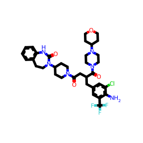 Nc1c(Cl)cc(CC(CC(=O)N2CCC(N3CCc4ccccc4NC3=O)CC2)C(=O)N2CCN(C3CCOCC3)CC2)cc1C(F)(F)F